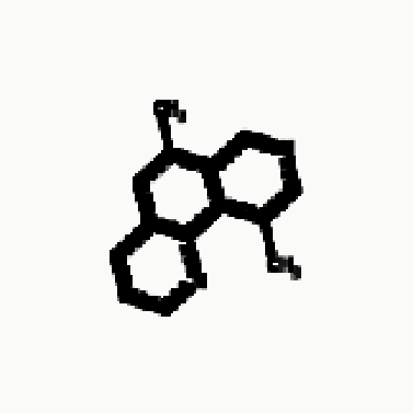 Cc1cc2cccnc2c2c(C)cncc12